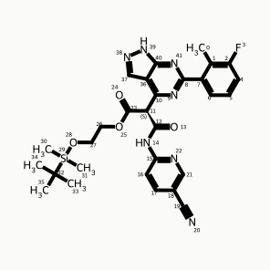 Cc1c(F)cccc1-c1nc([C@@H](C(=O)Nc2ccc(C#N)cn2)C(=O)OCCO[Si](C)(C)C(C)(C)C)c2cn[nH]c2n1